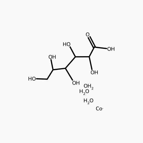 O.O.O.O=C(O)C(O)C(O)C(O)C(O)CO.[Co]